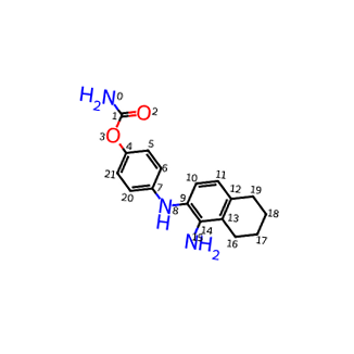 NC(=O)Oc1ccc(Nc2ccc3c(c2N)CCCC3)cc1